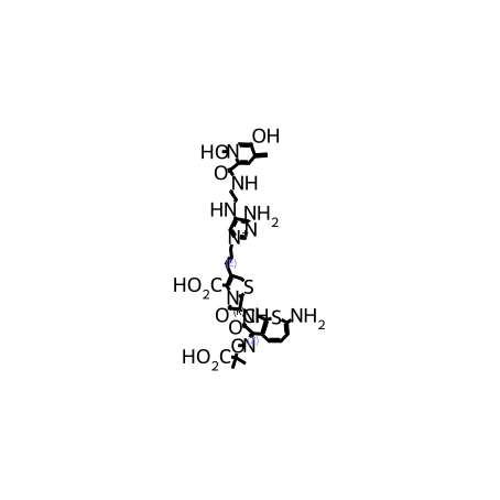 C=C1C=C(C(=O)NCCNc2c[n+](C/C=C/C3=C(C(=O)O)N4C(=O)[C@@H](NC(=O)/C(=N\OC(C)(C)C(=O)O)C5=C(Cl)SC(N)=CC=C5)C4SC3)cnc2N)N(O)C=C1O